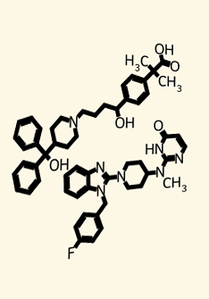 CC(C)(C(=O)O)c1ccc(C(O)CCCN2CCC(C(O)(c3ccccc3)c3ccccc3)CC2)cc1.CN(c1nccc(=O)[nH]1)C1CCN(c2nc3ccccc3n2Cc2ccc(F)cc2)CC1